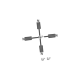 N#[C][Ni-2]([C]#N)([C]#N)[C]#N.[Li+].[Li+]